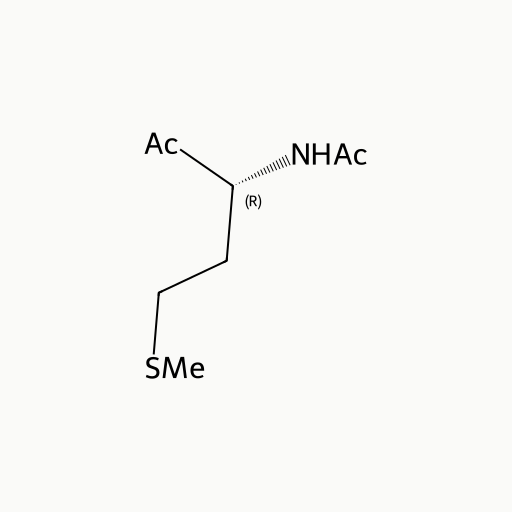 CSCC[C@@H](NC(C)=O)C(C)=O